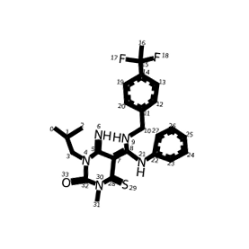 CC(C)CN1C(=N)/C(=C(\NCc2ccc(C(C)(F)F)cc2)Nc2ccccc2)C(=S)N(C)C1=O